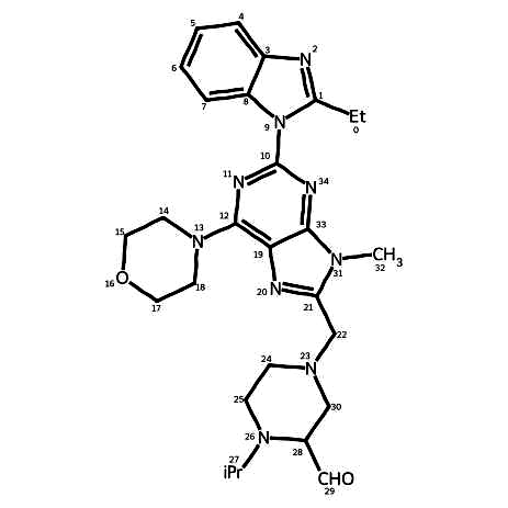 CCc1nc2ccccc2n1-c1nc(N2CCOCC2)c2nc(CN3CCN(C(C)C)C(C=O)C3)n(C)c2n1